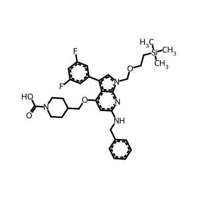 C[Si](C)(C)CCOCn1cc(-c2cc(F)cc(F)c2)c2c(OCC3CCN(C(=O)O)CC3)cc(NCc3ccccc3)nc21